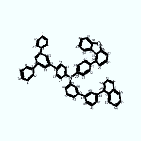 c1ccc(-c2cc(-c3ccccc3)cc(-c3ccc(N(c4ccc(-c5cccc6oc7ccccc7c56)cc4)c4cccc(-c5cccc(-c6cccc7ccccc67)c5)c4)cc3)c2)cc1